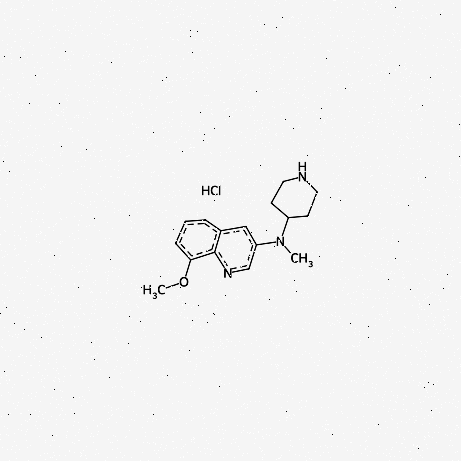 COc1cccc2cc(N(C)C3CCNCC3)cnc12.Cl